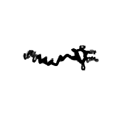 CCC1=C(OC)C(=O)C(CCCCCCCCCCOC(C)(C)C)=C(C)C1=O